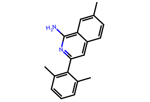 Cc1ccc2cc(-c3c(C)cccc3C)nc(N)c2c1